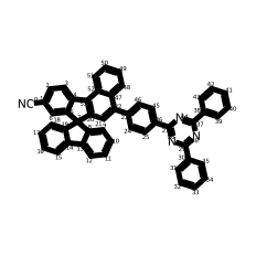 N#Cc1ccc2c(c1)C1(c3ccccc3-c3ccccc31)c1cc(-c3ccc(-c4nc(-c5ccccc5)nc(-c5ccccc5)n4)cc3)c3ccccc3c1-2